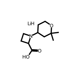 CC1(C)CC(N2CCC2C(=O)O)CCO1.[LiH]